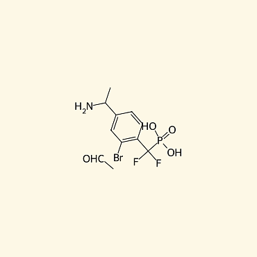 CC(N)c1ccc(C(F)(F)P(=O)(O)O)c(Br)c1.CC=O